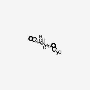 CC(=O)N1CCc2c(cccc2OCC(=O)NCC(O)CN2CCc3ccccc3C2)C1